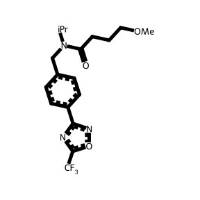 COCCCC(=O)N(Cc1ccc(-c2noc(C(F)(F)F)n2)cc1)C(C)C